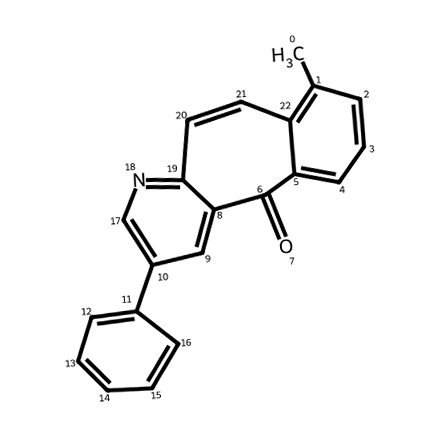 Cc1cccc2c(=O)c3cc(-c4ccccc4)cnc3ccc12